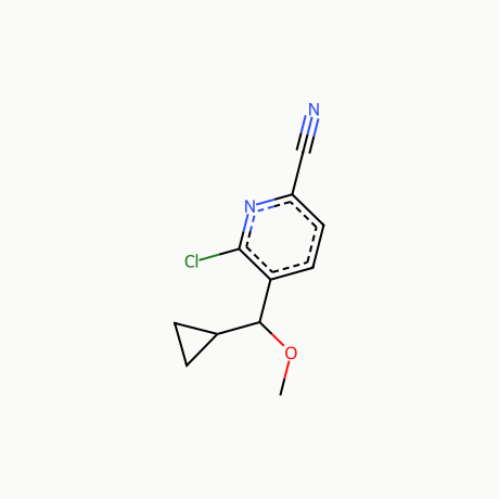 COC(c1ccc(C#N)nc1Cl)C1CC1